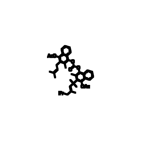 CC(=O)Oc1c(CC=C(C)C)c(C)c(OC(=O)Oc2c(C)c(C(C)(C)/C=C(\C)CC(C)C)c(OC(C)=O)c3ccccc23)c2ccccc12